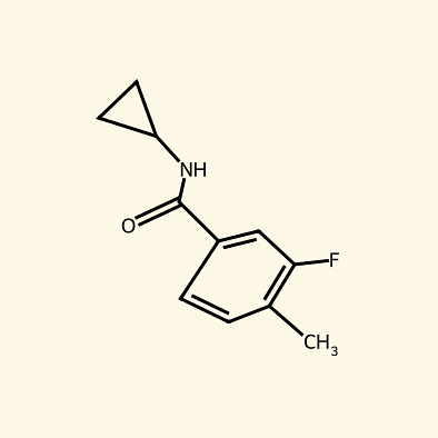 Cc1ccc(C(=O)NC2CC2)cc1F